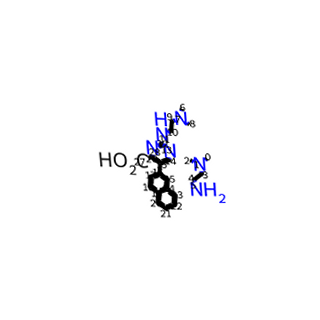 CN(C)CCN.CN(C)CCNc1ncc(-c2ccc3ccccc3c2)c(C(=O)O)n1